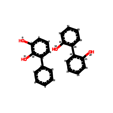 Oc1cccc(-c2ccccc2)c1O.Oc1ccccc1-c1ccccc1O